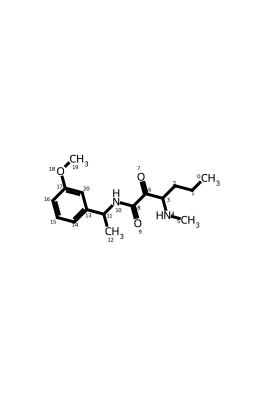 CCCC(NC)C(=O)C(=O)NC(C)c1cccc(OC)c1